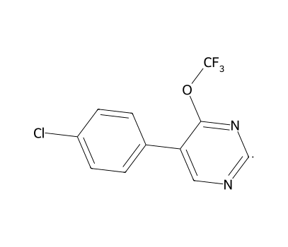 FC(F)(F)Oc1n[c]ncc1-c1ccc(Cl)cc1